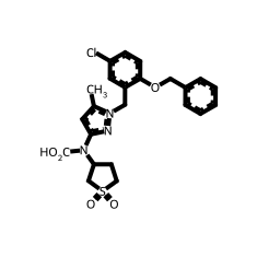 Cc1cc(N(C(=O)O)C2CCS(=O)(=O)C2)nn1Cc1cc(Cl)ccc1OCc1ccccc1